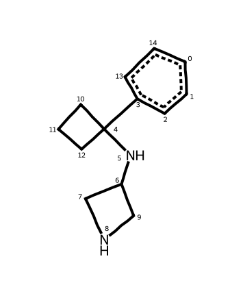 c1ccc(C2(NC3CNC3)CCC2)cc1